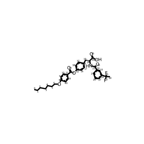 CCCCCCCOc1ccc(C(=O)Oc2ccc(C[C@H](NC(=O)c3cccc(C(C)(F)F)c3)C(=O)O)cc2)cc1